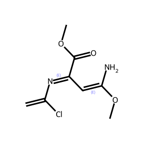 C=C(Cl)/N=C(\C=C(/N)OC)C(=O)OC